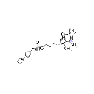 C=C(Cl)/N=C(/N)c1ncn(CCCCOC(=O)NCc2ccc(N3CCCC3)cc2)c1C